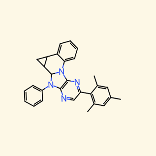 Cc1cc(C)c(-c2cnc3c(n2)N2c4ccccc4C4CC4C2N3c2ccccc2)c(C)c1